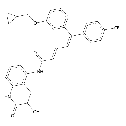 O=C(C=CC=C(c1ccc(C(F)(F)F)cc1)c1cccc(OCC2CC2)c1)Nc1cccc2c1CC(O)C(=O)N2